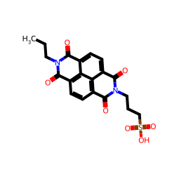 CCCN1C(=O)c2ccc3c4c(ccc(c24)C1=O)C(=O)N(CCCS(=O)(=O)O)C3=O